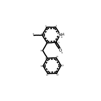 Cc1cc[nH]c(=O)c1Cc1ccccc1